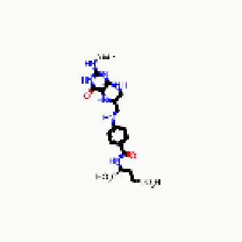 CNNc1nc2c(c(=O)[nH]1)NC(CNc1ccc(C(=O)N[C@@H](CCC(=O)O)C(=O)O)cc1)CN2